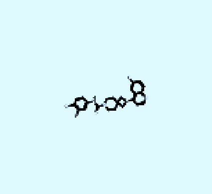 O=C(Nc1ccc(Cl)c(F)c1)N1CCC2(CC1)CN(c1ccnc3ccc(F)cc13)C2